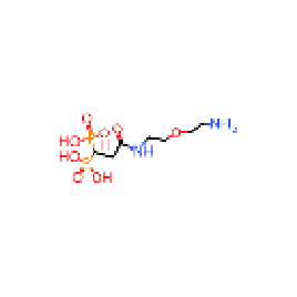 NCCOCCNC(=O)CC(P(=O)(O)O)P(=O)(O)O